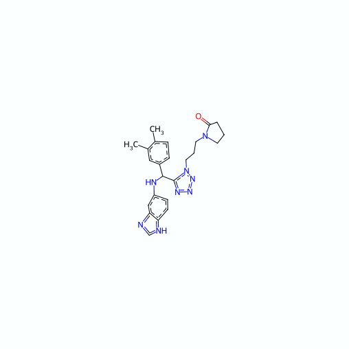 Cc1ccc(C(Nc2ccc3[nH]cnc3c2)c2nnnn2CCCN2CCCC2=O)cc1C